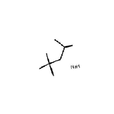 CC(C)CC(C)(C)C.[NaH]